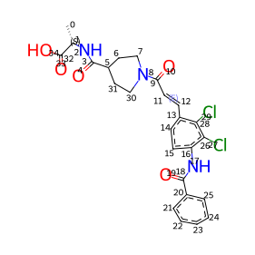 C[C@H](NC(=O)C1CCN(C(=O)/C=C/c2ccc(NC(=O)c3ccccc3)c(Cl)c2Cl)CC1)C(=O)O